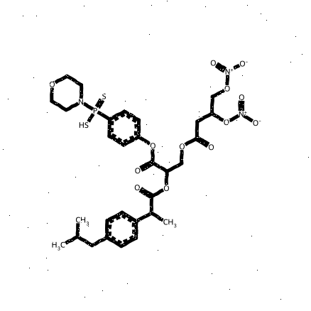 CC(C)Cc1ccc(C(C)C(=O)OC(COC(=O)CC(CO[N+](=O)[O-])O[N+](=O)[O-])C(=O)Oc2ccc(P(=S)(S)N3CCOCC3)cc2)cc1